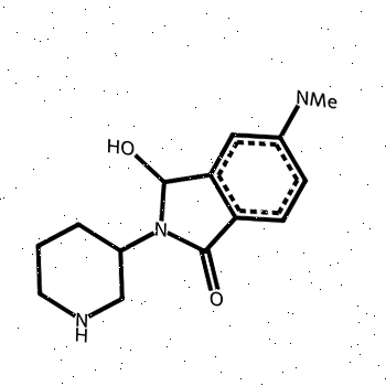 CNc1ccc2c(c1)C(O)N(C1CCCNC1)C2=O